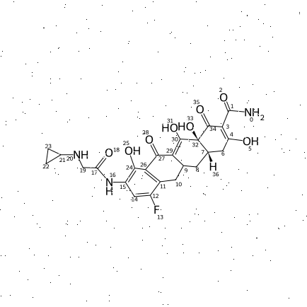 NC(=O)C1=C(O)C[C@@H]2CC3Cc4c(F)cc(NC(=O)CNC5CC5)c(O)c4C(=O)C3=C(O)[C@]2(O)C1=O